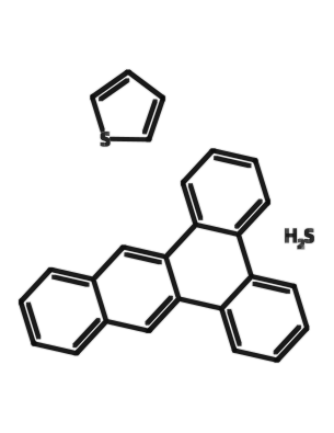 S.c1ccc2cc3c4ccccc4c4ccccc4c3cc2c1.c1ccsc1